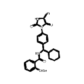 COc1ccccc1C(=O)NC(c1ccc(N2C(=O)NC(C(C)C)C2=O)cc1)C1CCCCC1